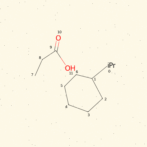 CC(C)C1CCCCC1.CCC(=O)O